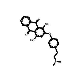 CN(C)CCc1ccc(Oc2cc(O)c3c(c2N)C(=O)c2ccccc2C3=O)cc1